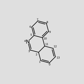 C1=CC2C=Nc3ccccc3C2C=C1